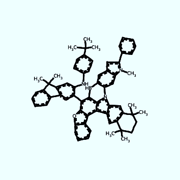 Cn1c(-c2ccccc2)cc2cc3c(cc21)-n1c2cc4c(cc2c2c5c(oc6ccccc65)c(-c5cc6c(cc5Nc5ccc(C(C)(C)C)cc5)C(C)(C)c5ccccc5-6)c(c21)B3)C(C)(C)CCC4(C)C